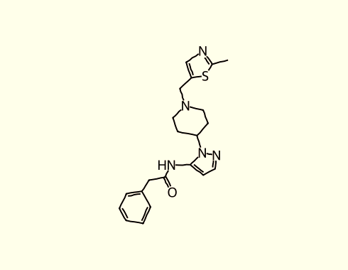 Cc1ncc(CN2CCC(n3nccc3NC(=O)Cc3ccccc3)CC2)s1